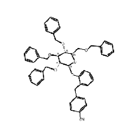 N#Cc1ccc(Cc2ccccc2O[C@@H]2O[C@H](COCc3ccccc3)[C@@H](OCc3ccccc3)[C@H](OCc3ccccc3)[C@H]2OCc2ccccc2)cc1